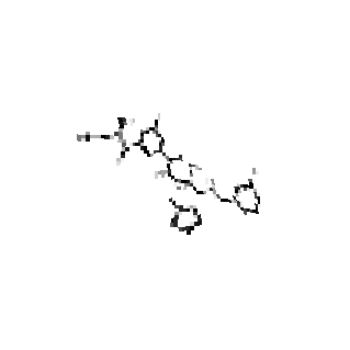 CCCN(CCC)C(=O)c1cc(C)cc(C(=O)N[C@@H](Cn2cccn2)[C@H](O)CNCc2cccc(CC)c2)c1